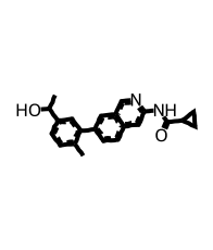 Cc1ccc(C(C)O)cc1-c1ccc2cc(NC(=O)C3CC3)ncc2c1